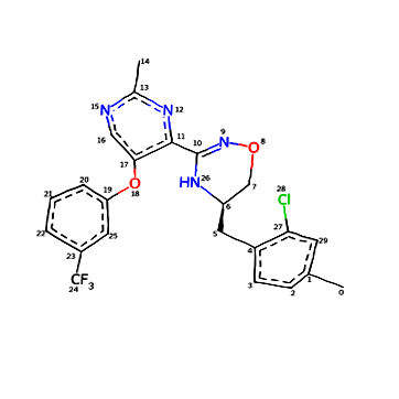 Cc1ccc(C[C@@H]2CON=C(c3nc(C)ncc3Oc3cccc(C(F)(F)F)c3)N2)c(Cl)c1